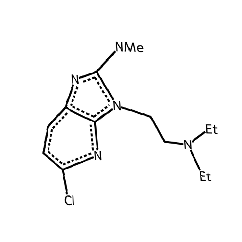 CCN(CC)CCn1c(NC)nc2ccc(Cl)nc21